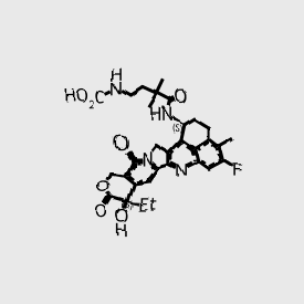 CC[C@@]1(O)C(=O)OCc2c1cc1n(c2=O)Cc2c-1nc1cc(F)c(C)c3c1c2[C@@H](NC(=O)C(C)(C)CCNC(=O)O)CC3